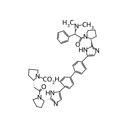 CN(C)[C@@H](C(=O)N1CCC[C@H]1c1ncc(-c2ccc(-c3ccc(-c4cnc([C@@H]5CCCN5C(=O)C[C@@H]5CCCN5C(=O)O)[nH]4)cc3)cc2)[nH]1)c1ccccc1